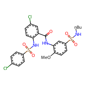 CCCCNS(=O)(=O)c1ccc(OC)c(NC(=O)c2cc(Cl)ccc2NS(=O)(=O)c2ccc(Cl)cc2)c1